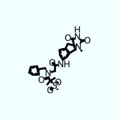 CN1C(=O)NC(=O)C12Cc1ccc(NC(=O)CN(Cc3ccccc3)C(=O)C(C)(C)S(C)(=O)=O)cc1C2